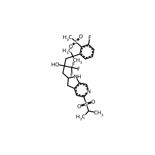 CC(C)S(=O)(=O)c1cc2c(cn1)NC(CC(O)(CC(C)(C)c1cccc(F)c1S(C)(=O)=O)C(F)(F)F)C2